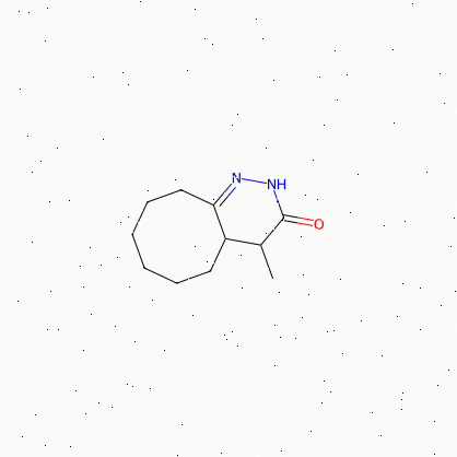 CC1C(=O)NN=C2CCCCCCC21